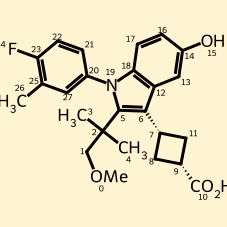 COCC(C)(C)c1c([C@H]2C[C@@H](C(=O)O)C2)c2cc(O)ccc2n1-c1ccc(F)c(C)c1